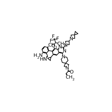 C=CC(=O)N1CC2(CCN(c3nc(N4CC(N5CC6(CC6)C5)C4)nc4c(OC(C)C(F)(F)F)c(-c5c(C)ccc(N)c5C=N)c(C5CC5)cc34)CC2)C1